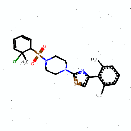 Cc1cccc(C)c1-c1csc(N2CCN(S(=O)(=O)C3C=CC=CC3(C)Cl)CC2)n1